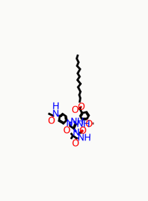 CCCCCCCCCCCCCCOC(=O)c1ccc(OC)c(Nc2[nH]n(-c3ccc(NC(C)=O)cc3)c(=O)c2N2C(=O)NC(=O)C2(C)C)c1